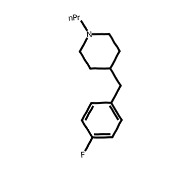 CCCN1CCC(Cc2ccc(F)cc2)CC1